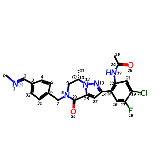 C/N=C/c1ccc(CN2C[C@H](C)n3nc(-c4cc(F)c(Cl)cc4NC(C)=O)cc3C2=O)cc1